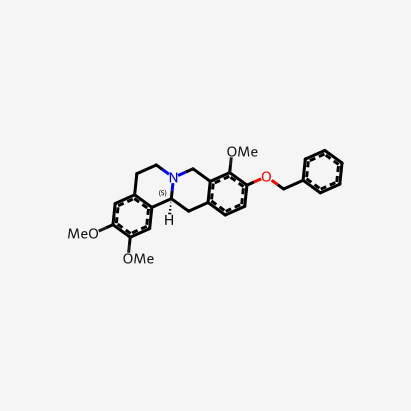 COc1cc2c(cc1OC)[C@@H]1Cc3ccc(OCc4ccccc4)c(OC)c3CN1CC2